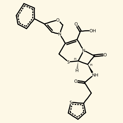 O=C(Cc1cccs1)N[C@@H]1C(=O)N2C(C(=O)O)=C(N3C=C(c4ccccc4)OC3)CS[C@H]12